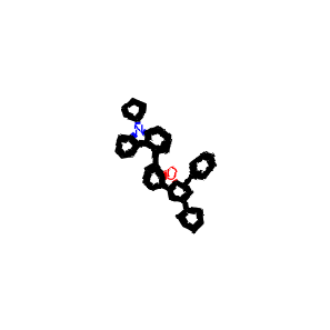 c1ccc(-c2cc(-c3ccccc3)c3oc4c(-c5cccc6c5c5ccccc5n6-c5ccccc5)cccc4c3c2)cc1